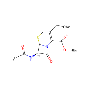 CC(=O)OCC1=C(C(=O)OC(C)(C)C)N2C(=O)[C@@H](NC(=O)C(F)(F)F)C2SC1